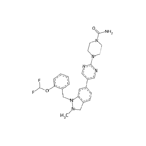 CN1Cc2ccc(-c3cnc(N4CCN(C(N)=O)CC4)nc3)cc2N1Cc1ccccc1OC(F)F